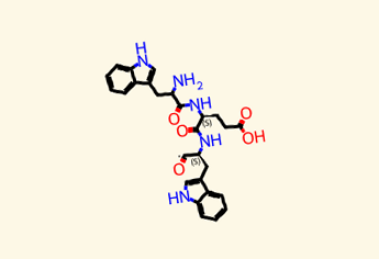 NC(Cc1c[nH]c2ccccc12)C(=O)N[C@@H](CCC(=O)O)C(=O)N[C@H]([C]=O)Cc1c[nH]c2ccccc12